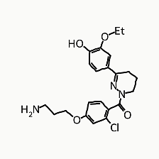 CCOc1cc(C2=NN(C(=O)c3ccc(OCCCN)cc3Cl)CCC2)ccc1O